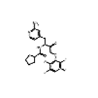 Nc1cc(CC(NC(=O)C2CCCC2)C(=O)COc2c(F)c(F)cc(F)c2F)ccn1